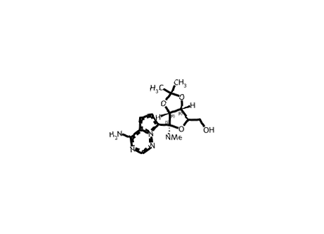 CN[C@@]1(c2ccc3c(N)ncnn23)OC(CO)[C@H]2OC(C)(C)O[C@H]21